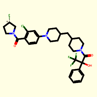 O=C(c1ccc(N2CCC(CC3CCN(C(=O)C(O)(c4ccccc4)C(F)(F)F)CC3)CC2)cc1Cl)N1CC[C@H](F)C1